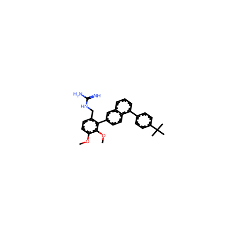 COc1ccc(CNC(=N)N)c(-c2ccc3c(-c4ccc(C(C)(C)C)cc4)cccc3c2)c1OC